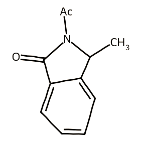 CC(=O)N1C(=O)c2ccccc2C1C